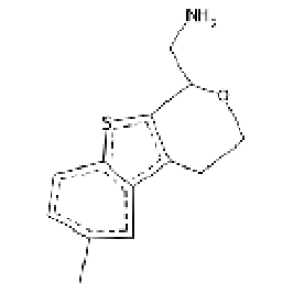 Cc1ccc2sc3c(c2c1)CCOC3CN